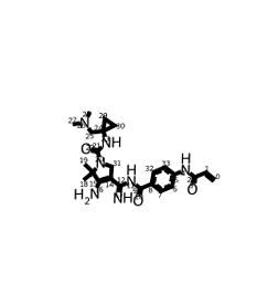 C=CC(=O)Nc1ccc(C(=O)NC(=N)C2=C(N)C(C)(C)N(C(=O)NC3(CN(C)C)CC3)C2)cc1